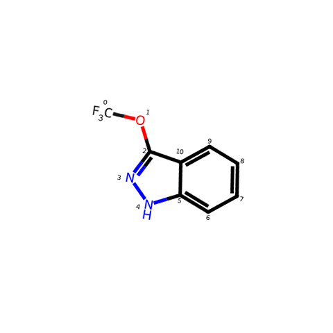 FC(F)(F)Oc1n[nH]c2ccccc12